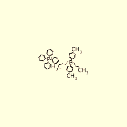 CCCC[B-](CCCC)(c1ccc(C)cc1)c1ccc(C)cc1.c1ccc([P+](c2ccccc2)(c2ccccc2)c2ccccc2)cc1